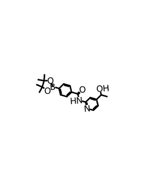 CC(O)c1ccnc(NC(=O)c2ccc(B3OC(C)(C)C(C)(C)O3)cc2)c1